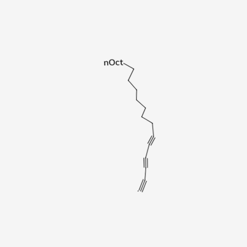 [C]#CC#CC#CCCCCCCCCCCCCCCC